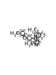 C=CC(=O)N1CCCC[C@H]1c1nc(-c2ccc(Oc3cccc(C)c3)cc2)c2c(C)nccn12